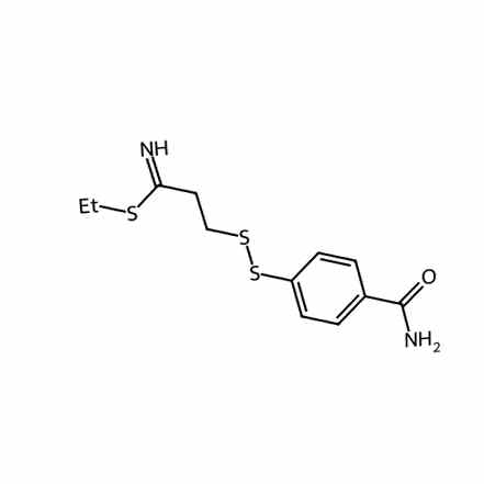 CCSC(=N)CCSSc1ccc(C(N)=O)cc1